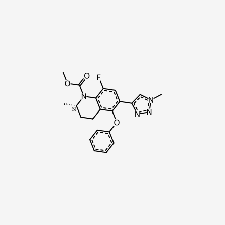 COC(=O)N1c2c(F)cc(-c3cn(C)nn3)c(Oc3ccccc3)c2CC[C@@H]1C